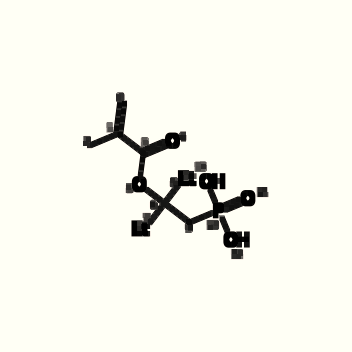 C=C(C)C(=O)OC(CC)(CC)CP(=O)(O)O